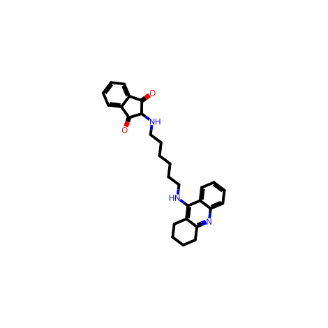 O=C1c2ccccc2C(=O)C1NCCCCCCNc1c2c(nc3ccccc13)CCCC2